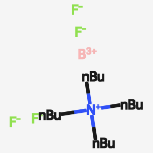 CCCC[N+](CCCC)(CCCC)CCCC.[B+3].[F-].[F-].[F-].[F-]